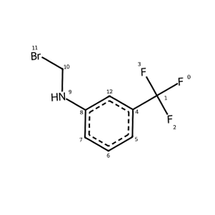 FC(F)(F)c1cccc(NCBr)c1